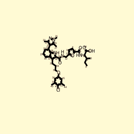 CCC(C)[C@H](NC(=O)c1ccc(CNC(=O)c2[nH]c3c(-c4c(C)nn(C)c4C)cccc3c2CCCOc2cc(C)c(Cl)c(C)c2)o1)C(=O)O